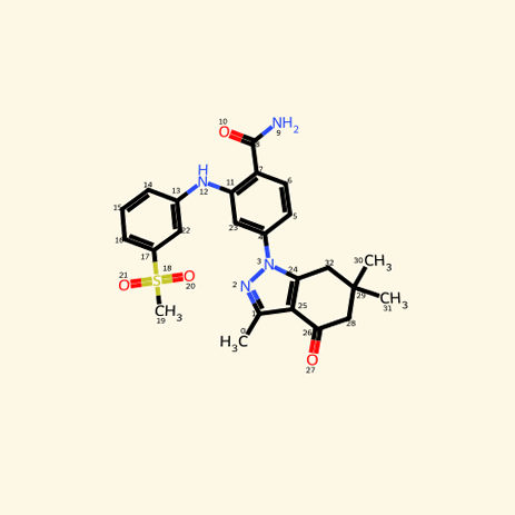 Cc1nn(-c2ccc(C(N)=O)c(Nc3cccc(S(C)(=O)=O)c3)c2)c2c1C(=O)CC(C)(C)C2